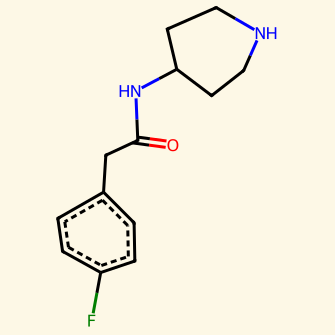 O=C(Cc1ccc(F)cc1)NC1CCNCC1